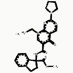 CCn1cc(C(=O)NC2(C(=O)OC)CCc3ccccc32)c(=O)c2cnc(N3CCCC3)nc21.Cl